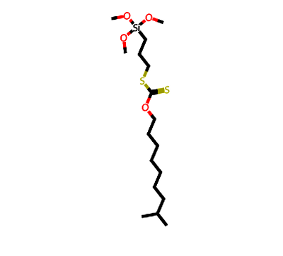 CO[Si](CCCSC(=S)OCCCCCCCC(C)C)(OC)OC